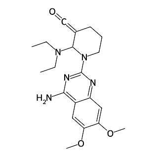 CCN(CC)C1C(=C=O)CCCN1c1nc(N)c2cc(OC)c(OC)cc2n1